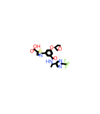 CC(NC(=O)c1cc(O[C@@H]2CCOC2)cc(-c2ncc(C(=O)O)s2)c1)c1cnc(C(F)(F)F)nc1